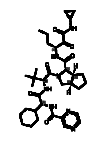 CCC[C@H](NC(=O)[C@H]1[C@H]2CCC[C@H]2CN1C(=O)[C@H](NC(=O)[C@H](NC(=O)c1cnccn1)C1CCCCC1)C(C)(C)C)C(=O)C(=O)NC1CC1